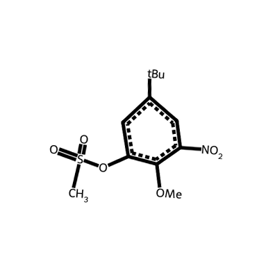 COc1c(OS(C)(=O)=O)cc(C(C)(C)C)cc1[N+](=O)[O-]